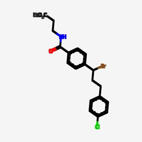 CCOC(=O)CCNC(=O)c1ccc(C(Br)CCc2ccc(Cl)cc2)cc1